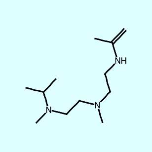 C=C(C)NCCN(C)CCN(C)C(C)C